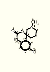 CN1CCCC2(C1)OC(=O)Nc1ccc(Cl)cc12